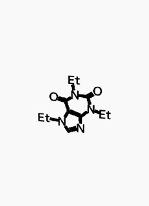 CCn1c(=O)c2c(ncn2CC)n(CC)c1=O